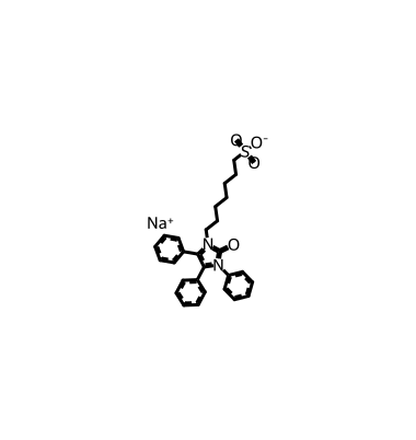 O=c1n(CCCCCCCS(=O)(=O)[O-])c(-c2ccccc2)c(-c2ccccc2)n1-c1ccccc1.[Na+]